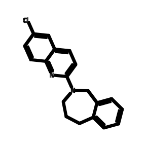 Clc1ccc2nc(N3CCCc4ccccc4C3)ccc2c1